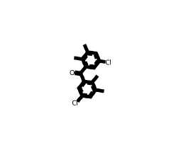 Cc1cc(Cl)cc(C(=O)c2cc(Cl)cc(C)c2C)c1C